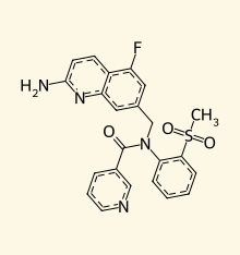 CS(=O)(=O)c1ccccc1N(Cc1cc(F)c2ccc(N)nc2c1)C(=O)c1cccnc1